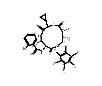 C[C@H]1NC(=O)C(C2CC2)OC(=O)[C@H](C)[C@H](O)[C@H](Cc2c(F)c(F)c(F)c(F)c2F)NC(=O)[C@H]1NC(=O)c1ccccc1O